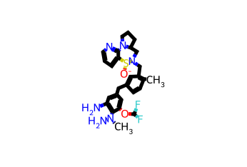 Cc1ccc(Cc2cc(N)c(N(C)N)c(OC(F)F)c2)cc1CN1CC2CCCN2c2ncccc2[S+]1[O-]